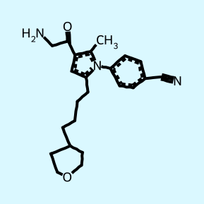 Cc1c(C(=O)CN)cc(CCCCC2CCOCC2)n1-c1ccc(C#N)cc1